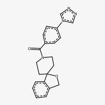 O=C(c1ccc(-n2cnnc2)cc1)N1CCC2(CC1)OCc1ccccc12